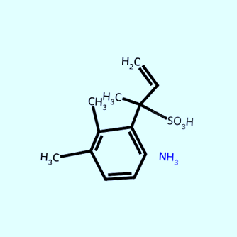 C=CC(C)(c1cccc(C)c1C)S(=O)(=O)O.N